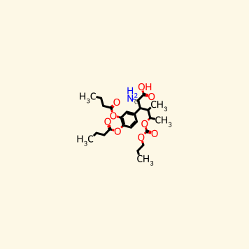 CCCOC(=O)OC(C)C(C)C(c1ccc(OC(=O)CCC)c(OC(=O)CCC)c1)[C@H](N)C(=O)O